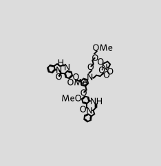 COCCOCCOCCN(CCCC(=O)ON1C(=O)CCC1=O)c1cc(COc2cc3c(cc2OC)C(=O)N2c4ccccc4C[C@H]2C=N3)cc(COc2cc3c(cc2OC)C(=O)N2c4ccccc4CC2C#CN3)c1